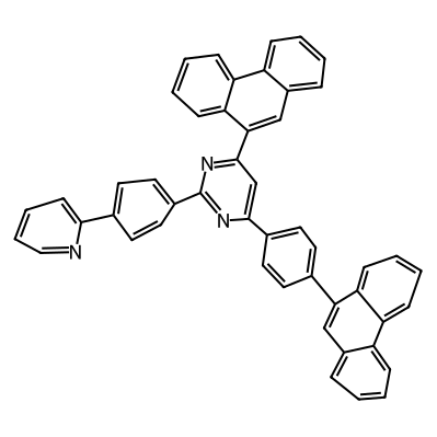 c1ccc(-c2ccc(-c3nc(-c4ccc(-c5cc6ccccc6c6ccccc56)cc4)cc(-c4cc5ccccc5c5ccccc45)n3)cc2)nc1